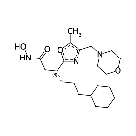 Cc1oc([C@H](CCCC2CCCCC2)CC(=O)NO)nc1CN1CCOCC1